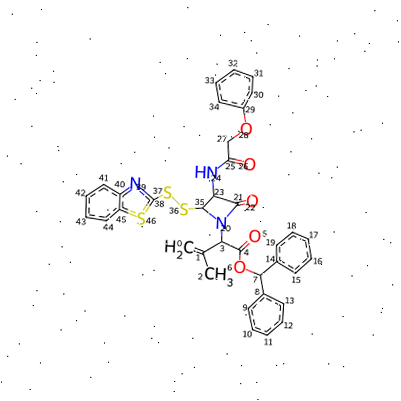 C=C(C)C(C(=O)OC(c1ccccc1)c1ccccc1)N1C(=O)C(NC(=O)COc2ccccc2)C1SSc1nc2ccccc2s1